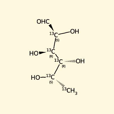 [13CH3][13C@H](O)[13C@@H](O)[13C@@H](O)[13C@H](O)[13CH]=O